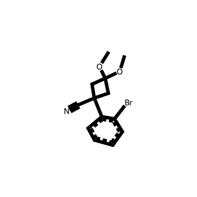 COC1(OC)CC(C#N)(c2ccccc2Br)C1